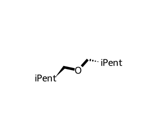 CCC[C@H](C)COC[C@@H](C)CCC